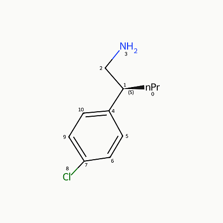 CCC[C@H](CN)c1ccc(Cl)cc1